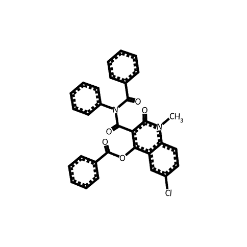 Cn1c(=O)c(C(=O)N(C(=O)c2ccccc2)c2ccccc2)c(OC(=O)c2ccccc2)c2cc(Cl)ccc21